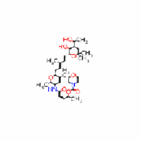 CC(/C=C/[C@H]1OC(C)(C)CC(C(C)O)[C@@H]1O)=C\C[C@@H]1O[C@H](C)[C@H](NC(=O)/C=C\[C@H](C)OC(=O)N2CCOCC2)C[C@@H]1C